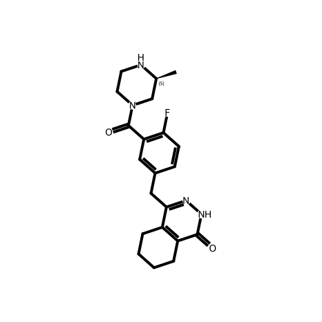 C[C@H]1CN(C(=O)c2cc(Cc3n[nH]c(=O)c4c3CCCC4)ccc2F)CCN1